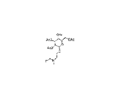 CC(=O)OC[C@H]1O[C@@H](OCCN(C)CF)[C@H](OC(C)=O)[C@@H](OC(C)=O)[C@@H]1OC(C)=O